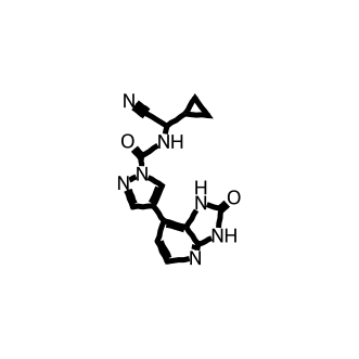 N#CC(NC(=O)n1cc(-c2ccnc3[nH]c(=O)[nH]c23)cn1)C1CC1